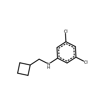 Clc1cc(Cl)cc(NCC2CCC2)c1